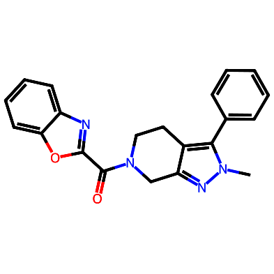 Cn1nc2c(c1-c1ccccc1)CCN(C(=O)c1nc3ccccc3o1)C2